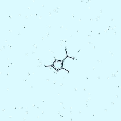 Cc1nc(C)c(C(F)F)s1